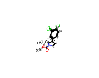 CC(C)(C)OC(=O)N1CCC(c2ccc(Cl)c(Cl)c2)[C@H]1C(=O)O